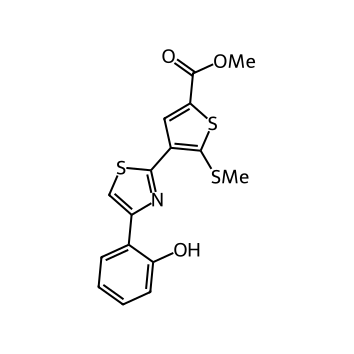 COC(=O)c1cc(-c2nc(-c3ccccc3O)cs2)c(SC)s1